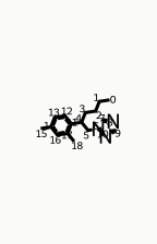 CCCCC(Cn1cncn1)c1ccc(C)cc1C